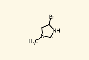 CN1[CH]NC(Br)C1